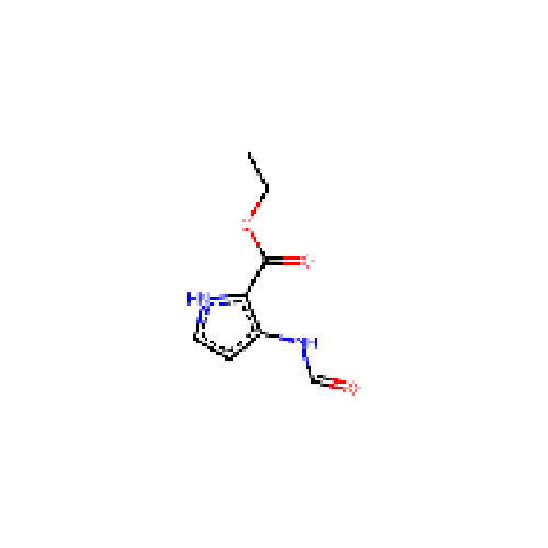 CCOC(=O)c1[nH]ccc1NC=O